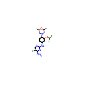 CC1CN(c2ccc(Nc3ncc(F)c(N)n3)cc2OC(F)F)CC(C)O1